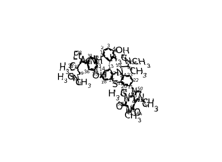 CC(=O)Nc1ccc(O)cc1.CC(CN1c2ccccc2Sc2ccccc21)N(C)C.CC[C@@H](c1cccc(O)c1)[C@@H](C)CN(C)C.Cn1c(=O)c2c(ncn2C)n(C)c1=O